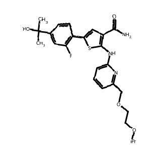 CC(C)OCCOCc1cccc(Nc2sc(-c3ccc(C(C)(C)O)cc3F)cc2C(N)=O)n1